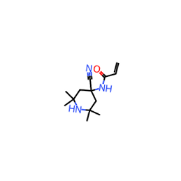 C=CC(=O)NC1(C#N)CC(C)(C)NC(C)(C)C1